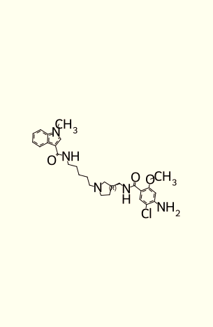 COc1cc(N)c(Cl)cc1C(=O)NC[C@H]1CCN(CCCCCNC(=O)c2cn(C)c3ccccc23)C1